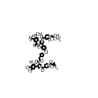 CN(C(=O)CC1CCCC1)C1CN(C(=O)C2CCN(C(=O)C3(C)CC3)CC2)CC1c1ccc(Cl)c(Cl)c1.COc1ccc(C(=O)N(C)C2CN(C(=O)C3CCN(CC(C)(C)C)CC3)CC2c2ccc(Cl)cc2)cc1C(F)(F)F